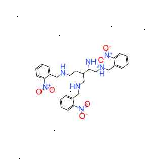 NC(CNCc1ccccc1[N+](=O)[O-])C(CCNCc1ccccc1[N+](=O)[O-])CNCc1ccccc1[N+](=O)[O-]